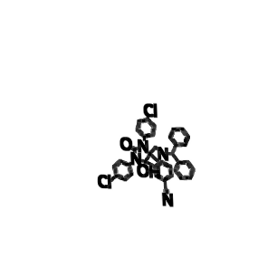 N#Cc1cccc(C2(O)N(c3ccc(Cl)cc3)C(=O)N(c3ccc(Cl)cc3)C23CN(C(c2ccccc2)c2ccccc2)C3)c1